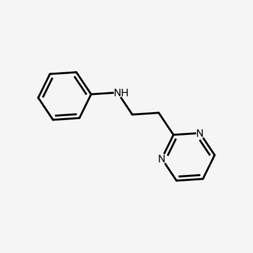 c1ccc(NCCc2ncccn2)cc1